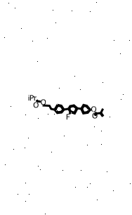 C=C(C)C(=O)Oc1ccc(-c2ccc(-c3ccc(CCCOC(=O)C(C)C)cc3)c(F)c2)cc1